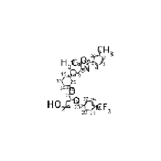 Cc1cccc(-c2nc(CO[C@H]3CCC[C@@H](OC[C@H](OCc4ccc(C(F)(F)F)cc4)C(=O)O)C3)c(C)o2)c1